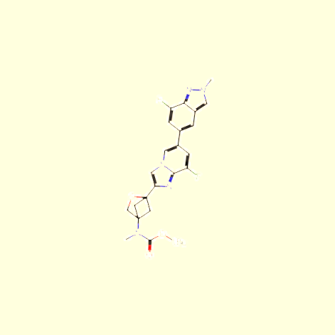 CN(C(=O)OC(C)(C)C)C12COC(c3cn4cc(-c5cc(F)c6nn(C)cc6c5)cc(F)c4n3)(C1)C2